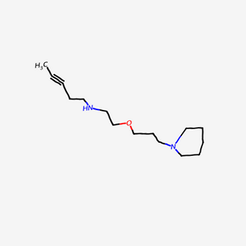 CC#CCCNCCOCCCN1CCCCC1